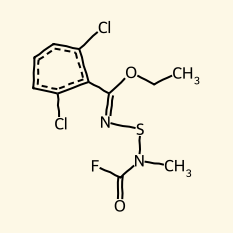 CCOC(=NSN(C)C(=O)F)c1c(Cl)cccc1Cl